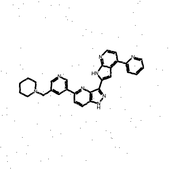 c1ccc(-c2ccnc3[nH]c(-c4n[nH]c5ccc(-c6cncc(CN7CCCCC7)c6)nc45)cc23)nc1